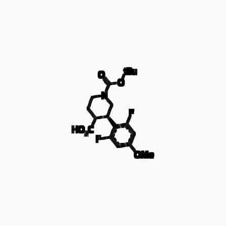 COc1cc(F)c([C@@H]2CN(C(=O)OC(C)(C)C)CCC2C(=O)O)c(F)c1